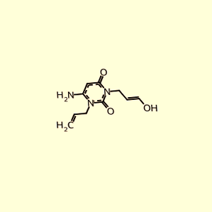 C=CCn1c(N)cc(=O)n(CC=CO)c1=O